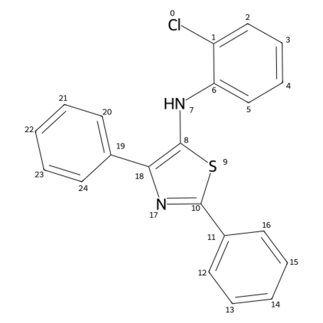 Clc1ccccc1Nc1sc(-c2ccccc2)nc1-c1ccccc1